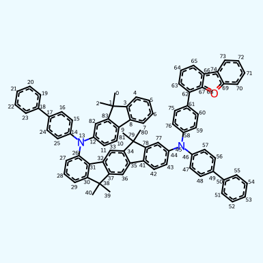 CC1(C)c2ccccc2-c2ccc(N(c3ccc(-c4ccccc4)cc3)c3cccc4c3-c3cc5c(cc3C4(C)C)-c3ccc(N(c4ccc(-c6ccccc6)cc4)c4ccc(-c6cccc7c6oc6ccccc67)cc4)cc3C5(C)C)cc21